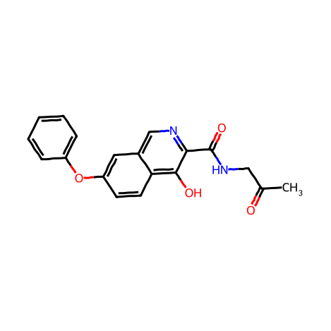 CC(=O)CNC(=O)c1ncc2cc(Oc3ccccc3)ccc2c1O